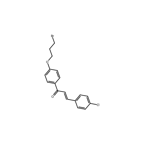 O=C(C=Cc1ccc(Cl)cc1)c1ccc(OCCCBr)cc1